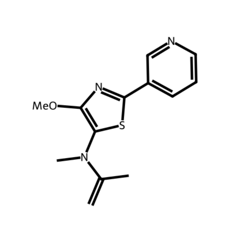 C=C(C)N(C)c1sc(-c2cccnc2)nc1OC